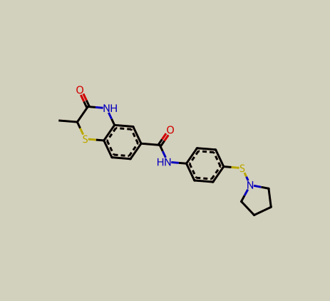 CC1Sc2ccc(C(=O)Nc3ccc(SN4CCCC4)cc3)cc2NC1=O